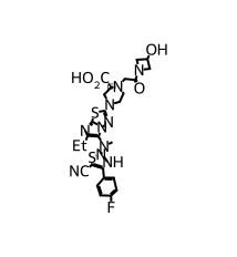 CCc1nc2sc(N3CCN(CC(=O)N4CC(O)C4)[C@H](C(=O)O)C3)nn2c1N(C)N1NC(c2ccc(F)cc2)=C(C#N)S1